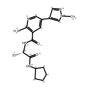 CC[C@H](NC(=O)c1cc(-c2cnn(C)c2)cnc1N)C(=O)NC1CCCC1